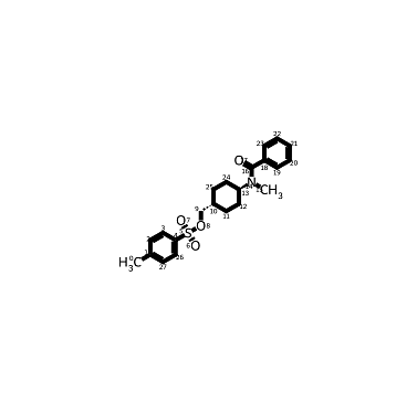 Cc1ccc(S(=O)(=O)OC[C@H]2CC[C@H](N(C)C(=O)c3ccccc3)CC2)cc1